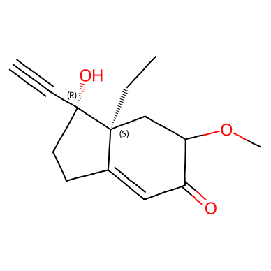 C#C[C@]1(O)CCC2=CC(=O)C(OC)C[C@@]21CC